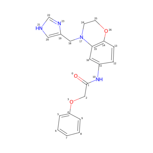 O=C(COc1ccccc1)Nc1ccc2c(c1)N(Cc1c[nH]cn1)CCO2